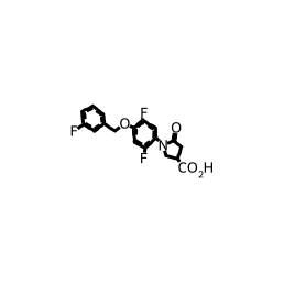 O=C(O)C1CC(=O)N(c2cc(F)c(OCc3cccc(F)c3)cc2F)C1